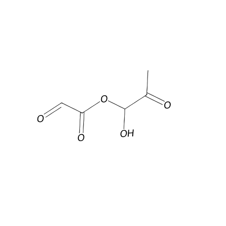 CC(=O)C(O)OC(=O)C=O